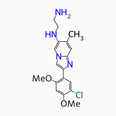 COc1cc(OC)c(-c2cn3cc(NCCN)c(C)cc3n2)cc1Cl